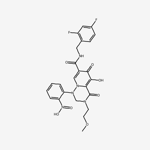 COCCN1CN(c2ccccc2[N+](=O)O)n2cc(C(=O)NCc3ccc(F)cc3F)c(=O)c(O)c2C1=O